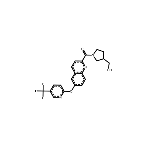 O=C(c1ccc2cc(Oc3ccc(C(F)(F)F)cn3)ccc2n1)N1CCC(CO)C1